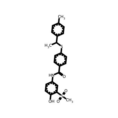 Cc1ccc(C(C)Sc2ccc(C(=O)Nc3ccc(O)c(S(C)(=O)=O)c3)cc2)cc1